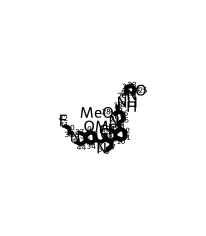 COc1cc(-c2nccc(-c3cccc(-c4ccc(CNC[C@@H]5CCC(=O)N5)c(OC)n4)c3Cl)c2Cl)cc2c1CN(CCCF)CC2